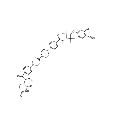 CC1(C)[C@H](NC(=O)c2ccc(C3CCC(N4CCN(c5ccc6c(c5)C(=O)C(C5CCC(=O)NC5=O)C6=O)CC4)CC3)cc2)C(C)(C)[C@H]1Oc1ccc(C#N)c(Cl)c1